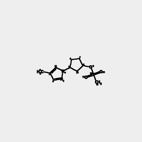 Cc1cnn(C2CCC(OS(C)(=O)=O)C2)c1